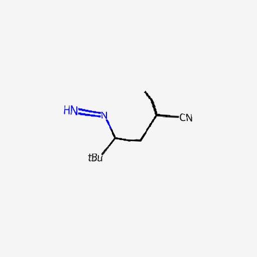 CC(C#N)CC(N=N)C(C)(C)C